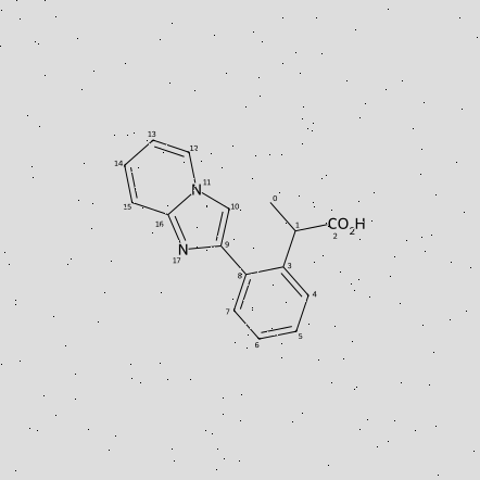 CC(C(=O)O)c1ccccc1-c1cn2ccccc2n1